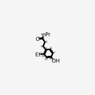 CCCC(=O)CCc1ccc(O)cc1CC